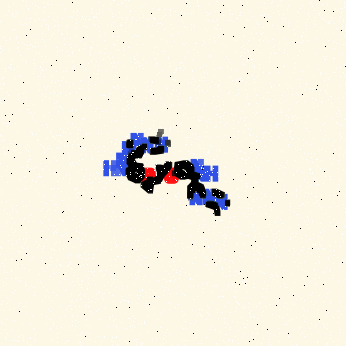 C[C@H]1CN(c2cc(-c3[nH]nc4ccc(OC5(C)CC5CC5(Oc6ccc7[nH]nc(-c8cc(N9CCN(C)[C@@H](C)C9)ncn8)c7c6)CC5)cc34)ccn2)CCN1C